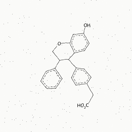 O=C(O)Cc1ccc(C2c3ccc(O)cc3OCC2c2ccccc2)cc1